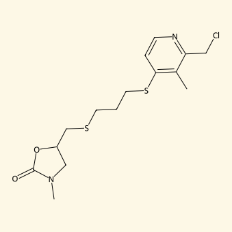 Cc1c(SCCCSCC2CN(C)C(=O)O2)ccnc1CCl